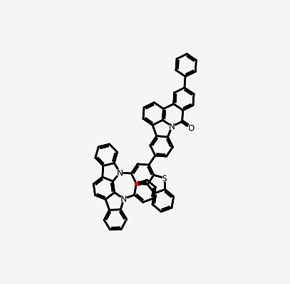 O=c1c2ccc(-c3ccccc3)cc2c2cccc3c4cc(-c5cc(-n6c7ccccc7c7ccc8c9ccccc9n(-c9ccccc9)c8c76)cc6c5sc5ccccc56)ccc4n1c23